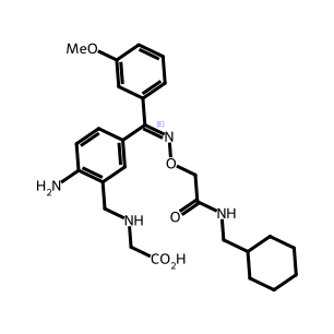 COc1cccc(/C(=N/OCC(=O)NCC2CCCCC2)c2ccc(N)c(CNCC(=O)O)c2)c1